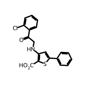 O=C(CNc1cc(-c2ccccc2)sc1C(=O)O)c1ccccc1Cl